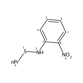 CCCSNc1ccccc1[N+](=O)[O-]